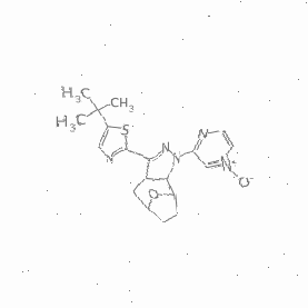 CC(C)(C)c1cnc(C2=NN(c3c[n+]([O-])ccn3)C3C4CCC(CC23)O4)s1